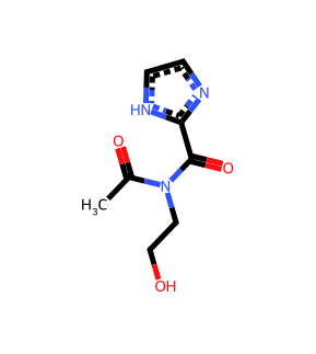 CC(=O)N(CCO)C(=O)c1ncc[nH]1